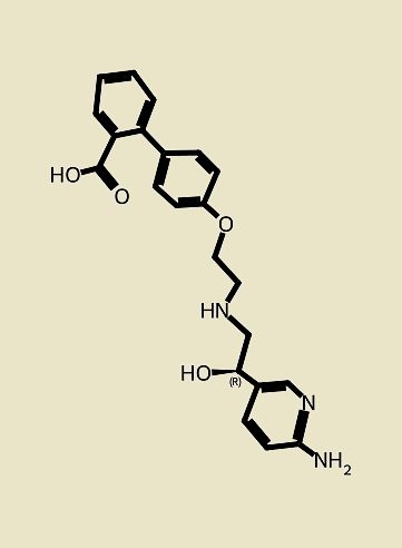 Nc1ccc([C@@H](O)CNCCOc2ccc(-c3ccccc3C(=O)O)cc2)cn1